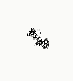 N[C@H]1[C@@H]2C[C@H]2CC12CCN(c1cnc3c(N4CCCc5ncccc54)n[nH]c3n1)CC2